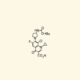 CC(C)(C)OC(=O)NC1CCN(c2c(F)cc3c(=O)c(C(=O)O)cn(C4CC4)c3c2Cl)C1